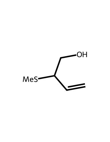 C=CC(CO)SC